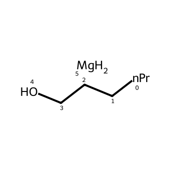 CCCCCCO.[MgH2]